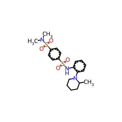 CC1CCCCN1c1ccccc1NS(=O)(=O)c1ccc(S(=O)(=O)N(C)C)cc1